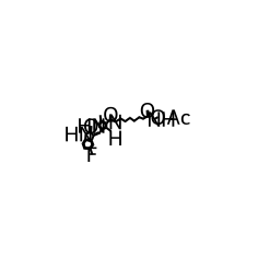 CC(=O)ONC(=O)CCCCCCNC(=O)c1c(C)[nH]c(C=C2C(=O)Nc3ccc(F)cc32)c1C